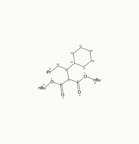 CCCCOC(=O)C(C(=O)OCCCC)C(CC(C)C)C1CCCCC1